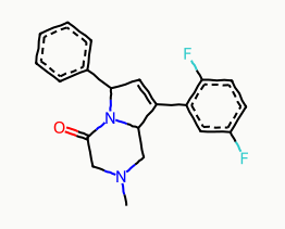 CN1CC(=O)N2C(C1)C(c1cc(F)ccc1F)=CC2c1ccccc1